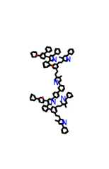 Cc1cc(-c2ccccc2)ncc1CCc1cc(CCc2cnc(-c3ccccc3)cc2C)cc(-c2ccccc2-c2cnc(-c3ccc(-c4cccc(-c5cc(C)c(CCc6cc(CCc7cnc(-c8ccccc8)cc7C)cc(-c7ccccc7-c7cnc(-c8ccccc8)cc7-c7ccc(-c8ccccc8)cc7-c7ccccc7)c6)cn5)c4)cc3)cc2-c2ccc(-c3ccccc3)cc2)c1